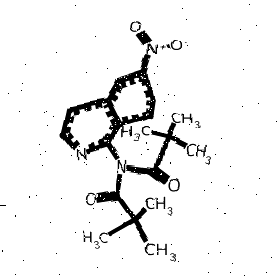 CC(C)(C)C(=O)N(C(=O)C(C)(C)C)c1nccc2cc([N+](=O)[O-])ccc12